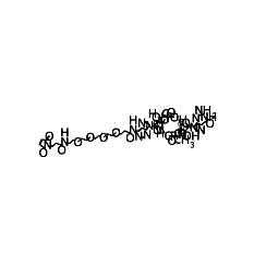 CP1(=O)OC[C@H]2O[C@@H](n3cnc4c(=O)[nH]c(N)nc43)C(O)[C@H]2OP(C)(=O)OC[C@H]2O[C@@H](n3cnc4c(NC(=O)CCOCCOCCOCCOCCNC(=O)CCN5C(=O)C=CC5=O)ncnc43)[C@@H](O)C2O1